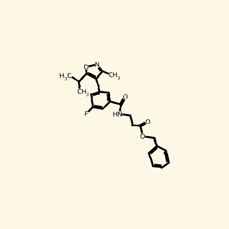 Cc1noc(C(C)C)c1-c1cc(F)cc(C(=O)NCCC(=O)OCc2ccccc2)c1